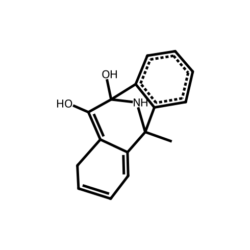 CC12NC(O)(C(O)=C3CC=CC=C31)c1ccccc12